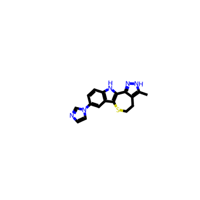 Cc1[nH]nc2c1CCSc1c-2[nH]c2ccc(-n3ccnc3)cc12